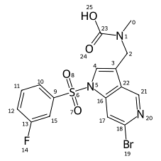 CN(Cc1cn(S(=O)(=O)c2cccc(F)c2)c2cc(Br)ncc12)C(=O)O